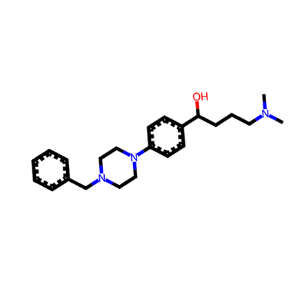 CN(C)CCCC(O)c1ccc(N2CCN(Cc3ccccc3)CC2)cc1